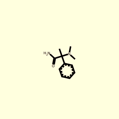 CN(C)C(C)(C(N)=O)c1ccccc1